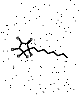 CCCCCCCCC1(Br)C(=O)C(Cl)C(Cl)C1(Cl)Cl